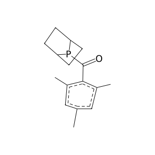 Cc1cc(C)c(C(=O)P2C3CCC2CC3)c(C)c1